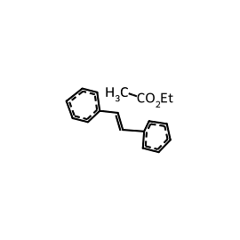 C(=Cc1ccccc1)c1ccccc1.CCOC(C)=O